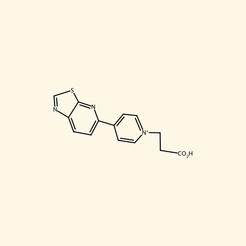 O=C(O)CC[n+]1ccc(-c2ccc3ncsc3n2)cc1